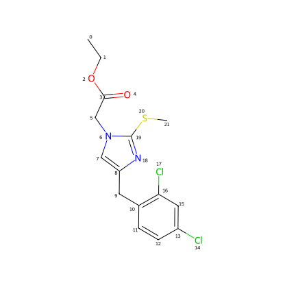 CCOC(=O)Cn1cc(Cc2ccc(Cl)cc2Cl)nc1SC